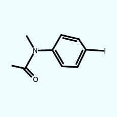 CC(=O)N(C)c1ccc(I)cc1